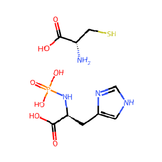 N[C@@H](CS)C(=O)O.O=C(O)[C@H](Cc1c[nH]cn1)NP(=O)(O)O